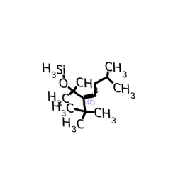 CC(C)C/C=C(/C(C)(C)C)C(C)(C)O[SiH3]